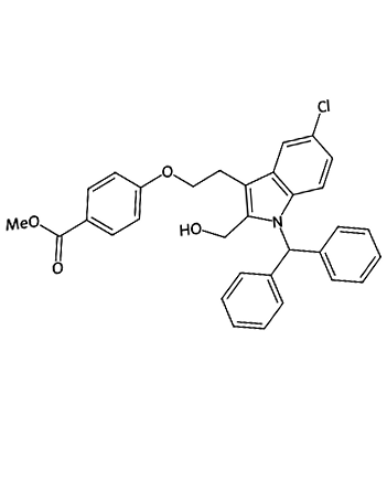 COC(=O)c1ccc(OCCc2c(CO)n(C(c3ccccc3)c3ccccc3)c3ccc(Cl)cc23)cc1